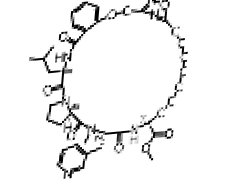 COC(=O)[C@@H]1CCCCCCCc2nc(no2)COc2ccccc2C(=O)N[C@H](CC(C)C)C(=O)N2CCC[C@@H]2C(=O)N(C)[C@@H](Cc2cccnc2)C(=O)N1